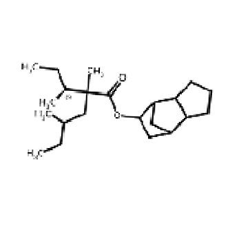 CCC(C)CC(C)(C(=O)OC1CC2CC1C1CCCC21)[C@@H](C)CC